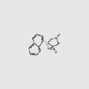 CN1C[C@@H]2C[C@@]2(c2cccc3ccccc23)C1